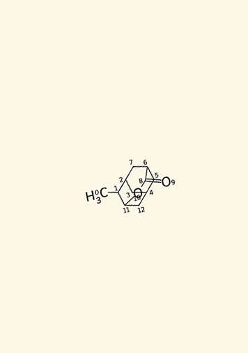 CC1C2CC3CC(C2)C(=O)OC1C3